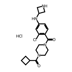 Cl.O=C(c1ccc(NC2CNC2)cc1Cl)N1CCN(C(=O)C2CCC2)CC1